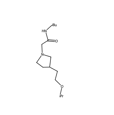 CCC(C)NC(=O)CN1CCC(CCOC(C)C)C1